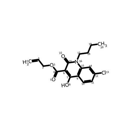 C=CCOC(=O)c1c(O)c2ccc(Cl)cc2n(CCCC)c1=O